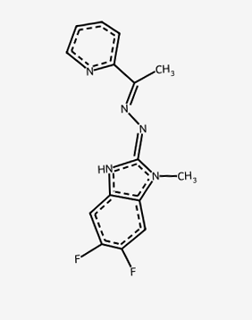 C/C(=N\N=c1/[nH]c2cc(F)c(F)cc2n1C)c1ccccn1